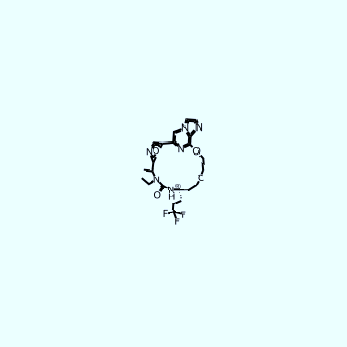 CCN1C(=O)N[C@@H](CCC(F)(F)F)CCCCCOc2nc(cn3ccnc23)-c2cnc(o2)C1C